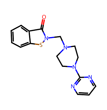 O=c1c2ccccc2sn1CN1CCN(c2ncccn2)CC1